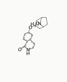 CN1C2CCC1CC(Oc1ccc3c(=O)[nH]ccc3c1)C2